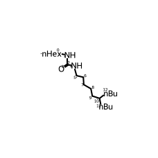 [CH2]CCCC[CH]NC(=O)N[CH]CCCC[C](CCCC)CCCC